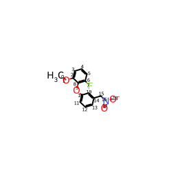 COc1cccc(F)c1Oc1cccc(C[N+](=O)[O-])c1